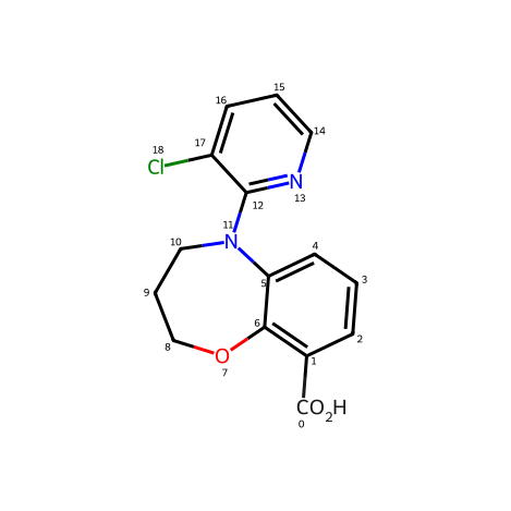 O=C(O)c1cccc2c1OCCCN2c1ncccc1Cl